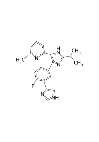 Cc1cccc(-c2[nH]c(C(C)C)nc2-c2ccc(F)c(-c3c[nH]cn3)c2)n1